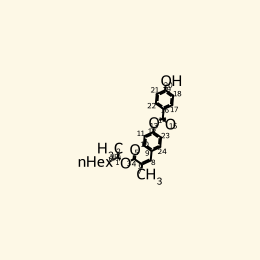 CCCCCC[C@@H](C)OC(=O)C(C)=Cc1ccc(OC(=O)c2ccc(O)cc2)cc1